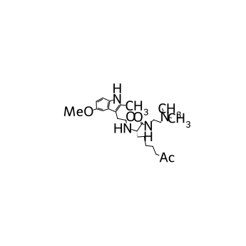 COc1ccc2[nH]c(C)c(CC(=O)N[C@@H](CCCCCC(C)=O)C(=O)NCCN(C)C)c2c1